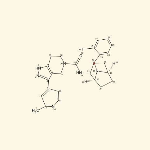 Cc1cc(-c2n[nH]c3c2CN(C(=O)N[C@@H]2CC[C@H]4CC[C@@H]2N4Cc2ccccc2F)CC3)ccn1